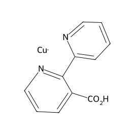 O=C(O)c1cccnc1-c1ccccn1.[Cu]